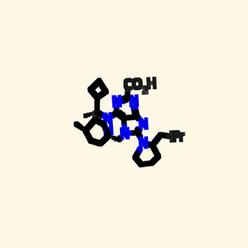 CC(C)CC1CCCCN1c1nc2nc(C(=O)O)nc(N[C@H](C)C3CCC3)c2n1C[C@H]1CC[C@H](C)CC1